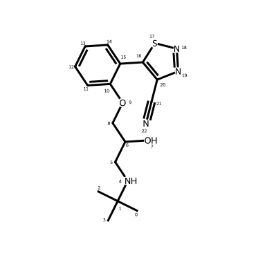 CC(C)(C)NCC(O)COc1ccccc1-c1snnc1C#N